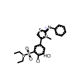 CCN(CC)S(=O)(=O)c1cc(-c2cs/c(=N/c3ccccc3)n2C)ccc1Cl.Cl